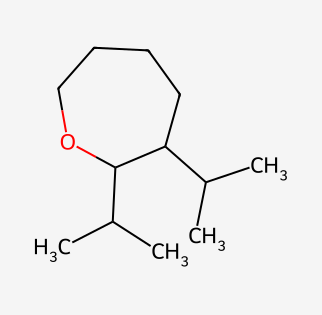 CC(C)C1CCCCOC1C(C)C